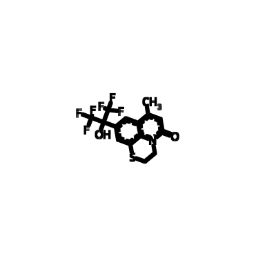 Cc1cc(=O)n2c3c(cc(C(O)(C(F)(F)F)C(F)(F)F)cc13)SCC2